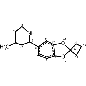 CC1CCNC(c2ccc3c(c2)OC2(CCC2)O3)C1